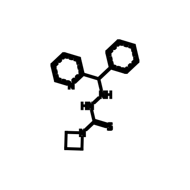 S=C(NNC(c1ccccc1)c1ccccn1)N1CCC1